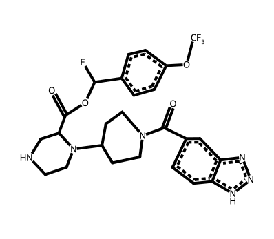 O=C(OC(F)c1ccc(OC(F)(F)F)cc1)C1CNCCN1C1CCN(C(=O)c2ccc3[nH]nnc3c2)CC1